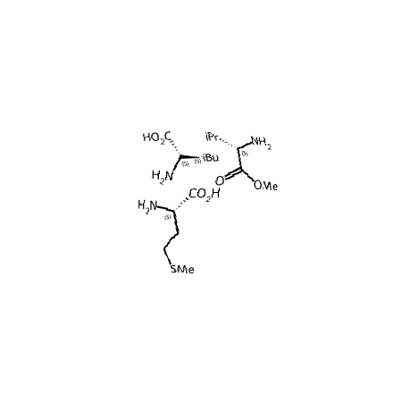 CC[C@H](C)[C@H](N)C(=O)O.COC(=O)[C@@H](N)C(C)C.CSCC[C@H](N)C(=O)O